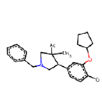 COc1ccc(C2CN(Cc3ccccc3)CC2(C)C(C)=O)cc1OC1CCCC1